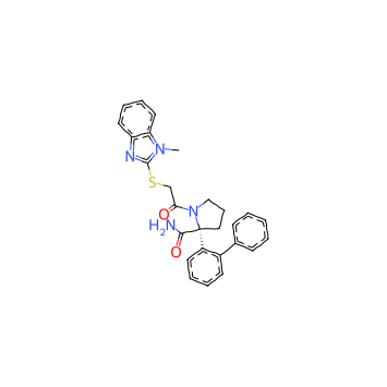 Cn1c(SCC(=O)N2CCC[C@]2(C(N)=O)c2ccccc2-c2ccccc2)nc2ccccc21